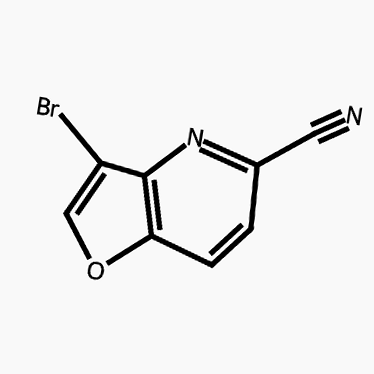 N#Cc1ccc2occ(Br)c2n1